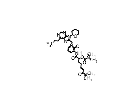 CN(C)C(=O)/C=C/CCC(OC(=O)N(C)C)C(=O)Nc1cccn(Cc2nc3c(CCC(F)(F)F)ncnc3n2C2CCCCO2)c1=O